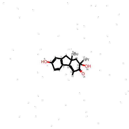 CCCCC12Cc3cc(O)ccc3C1=C(C)C(=O)C(O)(CCC)C2